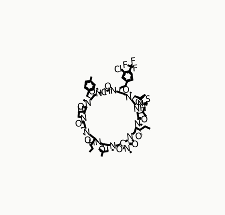 CC[C@H](C)[C@@H]1NC(=O)[C@H](CC(C)C)N(C)C(=O)C[C@@H](C(=O)N(C)C)N(C)C(=O)[C@H]([C@@H](C)CC)N(C)C(=O)[C@H](C(C)C)NC(=O)[C@H](Cc2cscn2)N(C)C(=O)[C@H](CCc2ccc(C(F)(F)F)c(Cl)c2)NC(=O)CN(C)C(=O)[C@H](Cc2ccc(C)cc2)N(C)C(=O)[C@@H]2CCN2C(=O)[C@H](C)N(C)C1=O